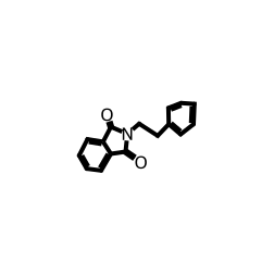 O=C1c2ccccc2C(=O)N1CCc1ccccc1